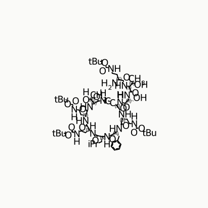 CC(C)C[C@@H]1NC(=O)[C@@H](Cc2ccccc2)NC(=O)[C@H](CCNC(=O)OC(C)(C)C)NC(=O)[C@@H](NC(=O)[C@@H](CO)NC(=O)[C@@H](NC(=O)[C@@H](N)CCNC(=O)OC(C)(C)C)[C@@H](C)O)CCNC(=O)[C@H]([C@@H](C)O)NC(=O)[C@H](CCNC(=O)OC(C)(C)C)NC(=O)[C@H](CCNC(=O)OC(C)(C)C)NC1=O